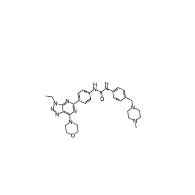 CCn1nnc2c(N3CCOCC3)nc(-c3ccc(NC(=O)Nc4ccc(CN5CCN(C)CC5)cc4)cc3)nc21